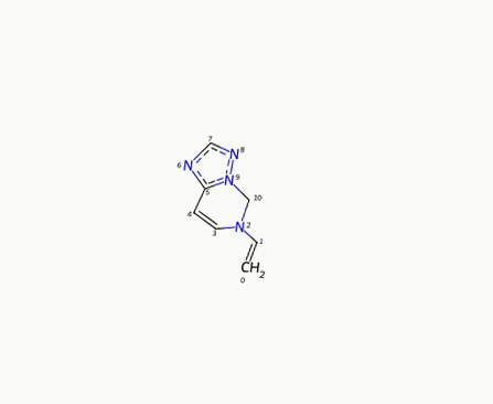 C=CN1C=Cc2ncnn2C1